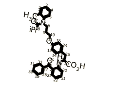 Cc1ccccc1N(CCCOc1ccc(CC(Nc2ccccc2C(=O)c2ccccc2)C(=O)O)cc1)C(=O)C(C)C